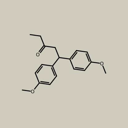 CCC(=O)CC(c1ccc(OC)cc1)c1ccc(OC)cc1